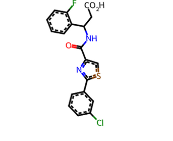 O=C(O)CC(NC(=O)c1csc(-c2cccc(Cl)c2)n1)c1ccccc1F